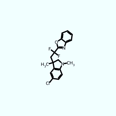 CN1CC(C)(CC(F)(F)c2nc3ccccc3o2)c2cc(Cl)ccc21